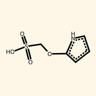 O=S(=O)(O)COc1ccc[nH]1